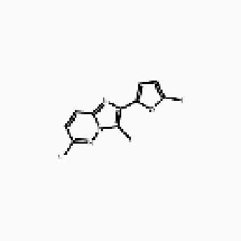 Clc1ccc2nc(-c3ccc(I)o3)c(I)n2n1